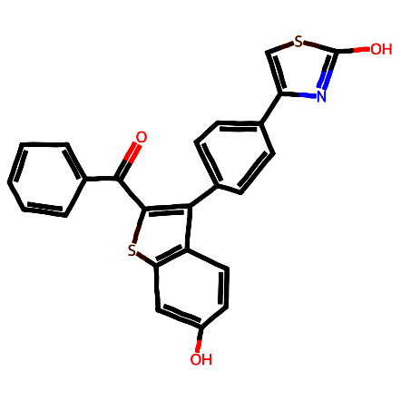 O=C(c1ccccc1)c1sc2cc(O)ccc2c1-c1ccc(-c2csc(O)n2)cc1